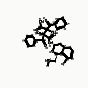 CNC[C@@H]1OCCc2cccc(F)c21.O=C(O)C(O)(C(=O)c1ccccc1)C(O)(C(=O)O)C(=O)c1ccccc1